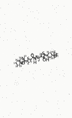 C/C(=N\NC(=O)c1ccc(C(=O)N(C)Cc2ccccn2)s1)c1csc(-c2ccc(C(F)(F)F)cc2)c1O